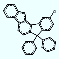 Clc1ccc2c(c1)-c1c(ccc3c1oc1ccccc13)C2(c1ccccc1)c1ccccc1